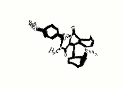 COc1ccc(CN(C)C(=O)c2c(-c3ccccc3C)c3ccccc3c(=O)n2C)cc1